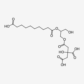 O=C(O)CCCCCCCCC(=O)OC(CO)COC(=O)CC(O)(CC(=O)O)C(=O)O